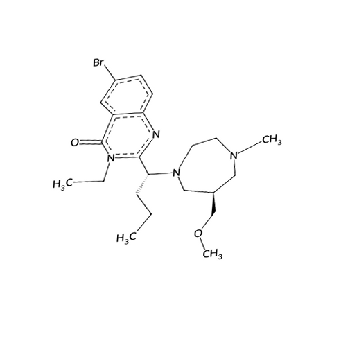 CCC[C@H](c1nc2ccc(Br)cc2c(=O)n1CC)N1CCN(C)C[C@@H](COC)C1